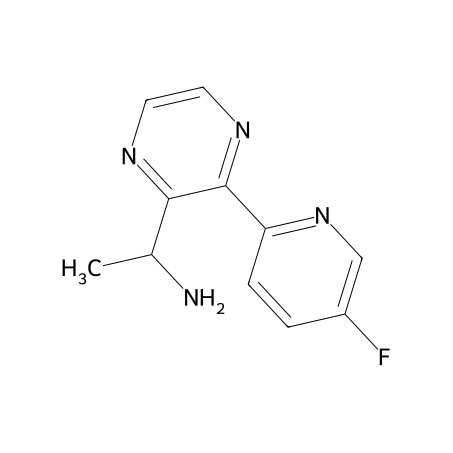 CC(N)c1nccnc1-c1ccc(F)cn1